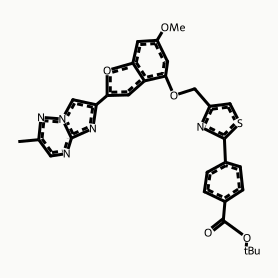 COc1cc(OCc2csc(-c3ccc(C(=O)OC(C)(C)C)cc3)n2)c2cc(-c3cn4nc(C)cnc4n3)oc2c1